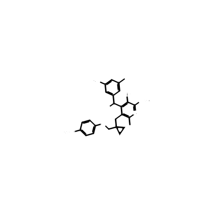 COc1ccc(OCC2(Cc3c(C)nc(OC)c(C(C)C)c3C(O)c3cc(C)cc(C#N)c3)CC2)cc1